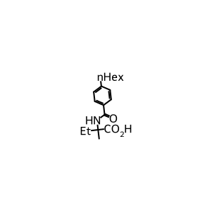 CCCCCCc1ccc(C(=O)NC(C)(CC)C(=O)O)cc1